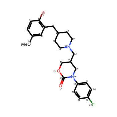 COc1ccc(Br)c(CC2CCN(CC3COC(=O)N(c4ccc(Cl)cc4)C3)CC2)c1